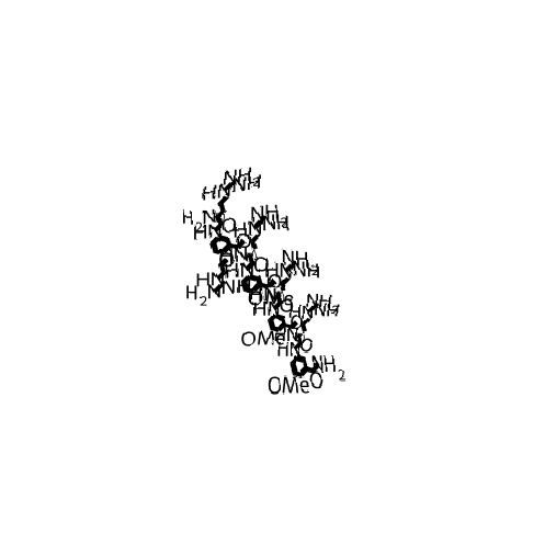 COc1ccc(NC(=O)[C@@H](CCCNC(=N)N)NC(=O)c2cc(NC(=O)[C@@H](CCCNC(=N)N)NC(=O)c3cc(NC(=O)[C@@H](CCCNC(=N)N)NC(=O)c4cc(NC(=O)[C@H](N)CCCNC(=N)N)ccc4OCCNC(=N)N)ccc3OC)ccc2OC)cc1C(N)=O